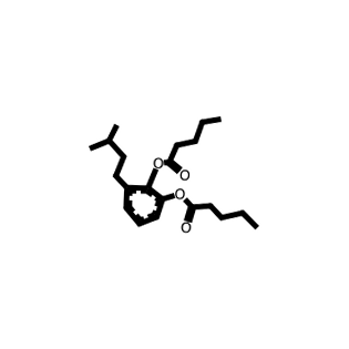 CCCCC(=O)Oc1cccc(CCC(C)C)c1OC(=O)CCCC